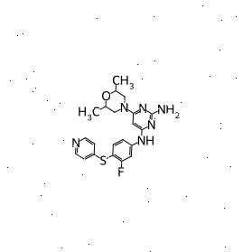 CC1CN(c2cc(Nc3ccc(Sc4ccncc4)c(F)c3)nc(N)n2)CC(C)O1